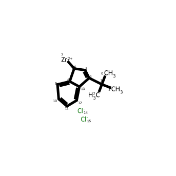 CC(C)(C)C1=C[CH]([Zr+2])c2ccccc21.[Cl-].[Cl-]